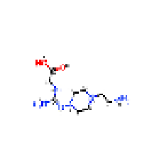 NCCN1CCN(N=C(N)NCC(=O)O)CC1